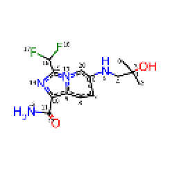 CC(C)(O)CNc1ccc2c(C(N)=O)nc(C(F)F)n2c1